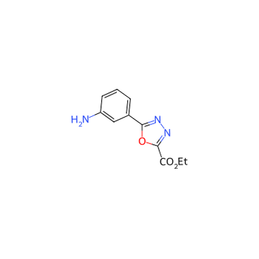 CCOC(=O)c1nnc(-c2cccc(N)c2)o1